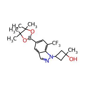 CC1(O)CC(n2ncc3cc(B4OC(C)(C)C(C)(C)O4)cc(C(F)(F)F)c32)C1